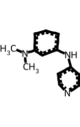 CN(C)c1cccc(Nc2ccncc2)c1